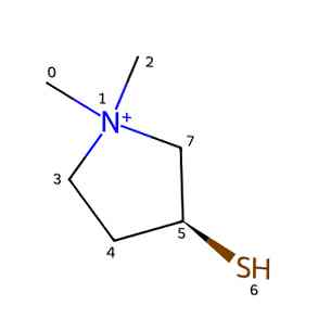 C[N+]1(C)CC[C@H](S)C1